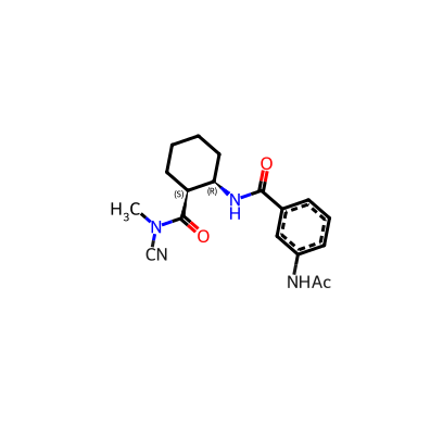 CC(=O)Nc1cccc(C(=O)N[C@@H]2CCCC[C@@H]2C(=O)N(C)C#N)c1